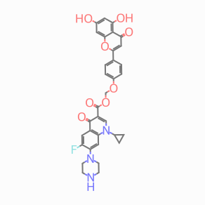 O=C(OCOc1ccc(-c2cc(=O)c3c(O)cc(O)cc3o2)cc1)c1cn(C2CC2)c2cc(N3CCNCC3)c(F)cc2c1=O